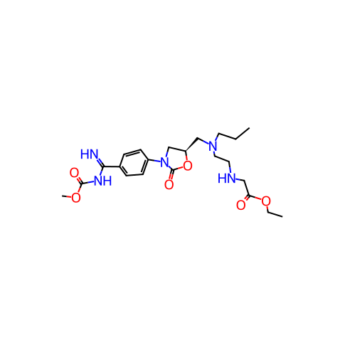 CCCN(CCNCC(=O)OCC)C[C@@H]1CN(c2ccc(C(=N)NC(=O)OC)cc2)C(=O)O1